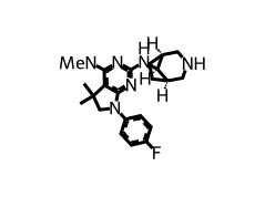 CNc1nc(N[C@@H]2[C@@H]3CC[C@H]2CNC3)nc2c1C(C)(C)CN2c1ccc(F)cc1